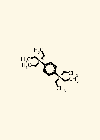 CC[N+](CC)(CC)c1ccc([N+](CC)(CC)CC)cc1